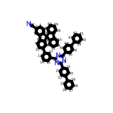 N#Cc1ccc2c(c1)-c1ccc(-c3cccc(-c4nc(-c5ccc(-c6ccccc6)cc5)nc(-c5ccc(-c6ccccc6)cc5)n4)c3)cc1C21c2ccccc2-c2ccccc21